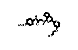 COc1ccc(NC(=O)CN(C)c2nc(-c3cc(OCCO)ccn3)nc3c2CCC3)cc1